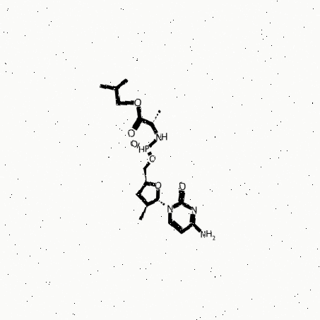 CC(C)COC(=O)[C@H](C)N[PH](=O)OC[C@@H]1C[C@H](C)[C@@H](n2ccc(N)nc2=O)O1